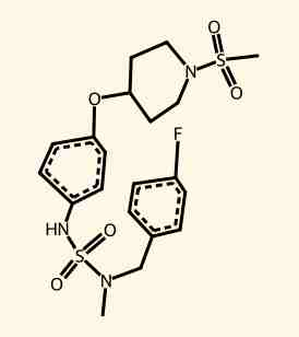 CN(Cc1ccc(F)cc1)S(=O)(=O)Nc1ccc(OC2CCN(S(C)(=O)=O)CC2)cc1